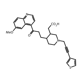 COc1ccc2nccc(C(=O)CCC3CCN(CC#Cc4ccsc4)CC3CC(=O)O)c2c1